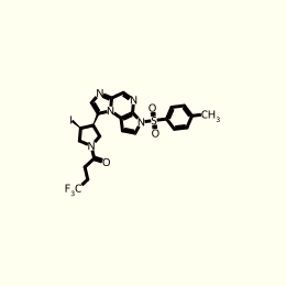 Cc1ccc(S(=O)(=O)n2ccc3c2ncc2ncc([C@H]4CN(C(=O)CCC(F)(F)F)C[C@H]4I)n23)cc1